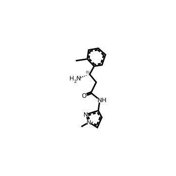 Cc1ccccc1[C@@H](N)CC(=O)Nc1ccn(C)n1